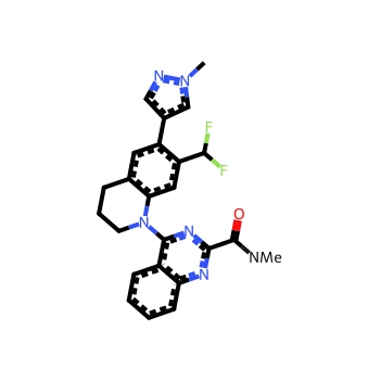 CNC(=O)c1nc(N2CCCc3cc(-c4cnn(C)c4)c(C(F)F)cc32)c2ccccc2n1